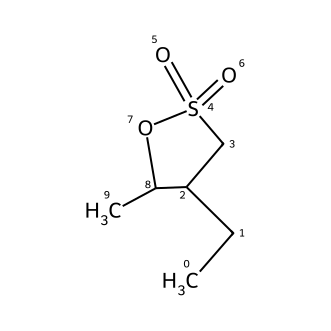 CCC1CS(=O)(=O)OC1C